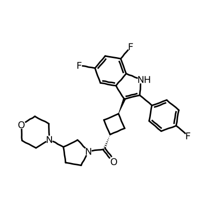 O=C([C@H]1C[C@H](c2c(-c3ccc(F)cc3)[nH]c3c(F)cc(F)cc32)C1)N1CCC(N2CCOCC2)C1